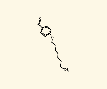 CCCCCCCCOc1ccc([C]=O)cc1